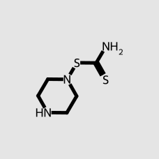 NC(=S)SN1CCNCC1